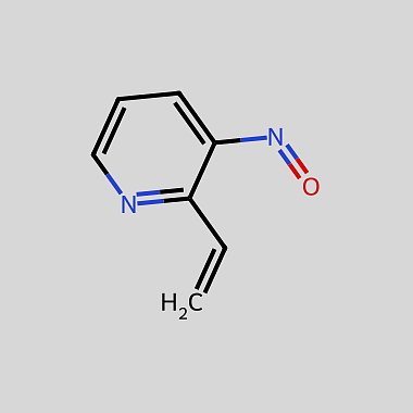 C=Cc1ncccc1N=O